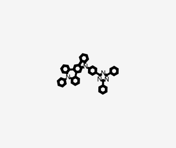 c1ccc(-c2nc(-c3ccccc3)nc(-c3ccc(-n4c5ccccc5c5cc6c(cc54)-c4ccccc4N(c4ccccc4)c4ccccc4-6)cc3)n2)cc1